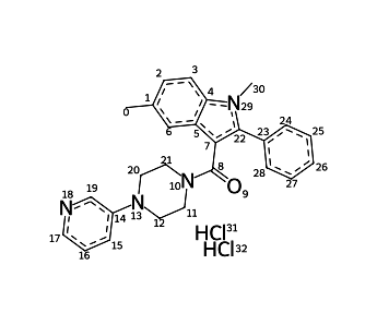 Cc1ccc2c(c1)c(C(=O)N1CCN(c3cccnc3)CC1)c(-c1ccccc1)n2C.Cl.Cl